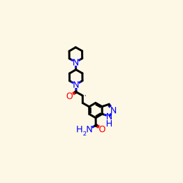 NC(=O)c1cc(C[CH]C(=O)N2CCC(N3CCCCC3)CC2)cc2cn[nH]c12